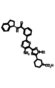 CCn1nc(-c2nc(-c3cccc(C(=O)N[C@H]4CCc5ccccc54)c3)cnc2N)nc1[C@@H]1CCCN(C(=O)O)C1